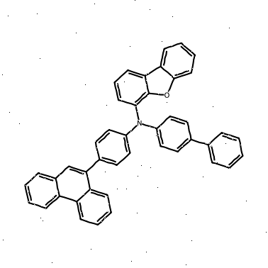 c1ccc(-c2ccc(N(c3ccc(-c4cc5ccccc5c5ccccc45)cc3)c3cccc4c3oc3ccccc34)cc2)cc1